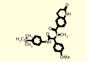 COc1ccc(C(C(=O)Nc2ccc([Si](C)(C)C)cc2)N(C)C(=O)c2ccc3c(c2)CCC(=O)N3)cc1